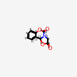 O=C1CN2C(=O)Oc3ccccc3C2O1